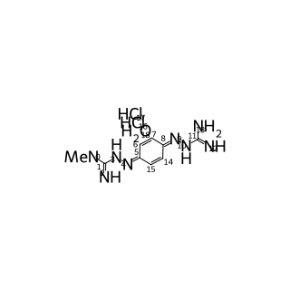 CNC(=N)NN=C1C=CC(=NNC(=N)N)C=C1.Cl.Cl.O